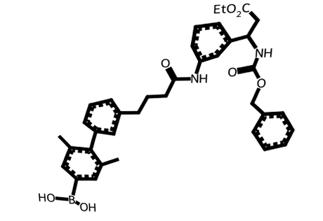 CCOC(=O)CC(NC(=O)OCc1ccccc1)c1cccc(NC(=O)CCCc2cccc(-c3c(C)cc(B(O)O)cc3C)c2)c1